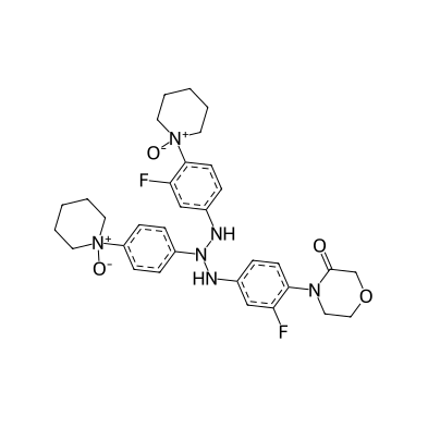 O=C1COCCN1c1ccc(NN(Nc2ccc([N+]3([O-])CCCCC3)c(F)c2)c2ccc([N+]3([O-])CCCCC3)cc2)cc1F